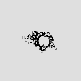 CCn1c(-c2cccnc2[C@H](C)OC)c2c3cc(ccc31)C1=CCCN(C1)CC(N)C(=O)N1CCC[C@H](N1)C(=O)OCC(C)(C)C2